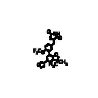 CC1(C)COc2c(-c3cc(/C=C4\SC(=O)NC4=O)ccc3OC(F)(F)F)cc(-c3ccoc3)cc21